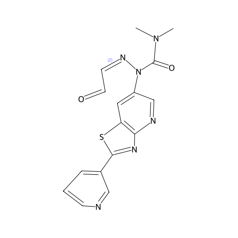 CN(C)C(=O)N(/N=C\C=O)c1cnc2nc(-c3cccnc3)sc2c1